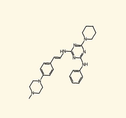 CN1CCN(c2ccc(/C=C/Nc3nc(Nc4ccccc4)nc(N4CCCCC4)n3)cc2)CC1